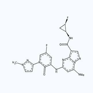 CNc1cc(Nc2cc(F)cn(-c3ccn(C)n3)c2=O)nc2c(C(=O)N[C@H]3C[C@H]3F)cnn12